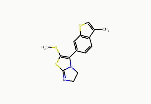 CSC1=C(c2ccc3c(C)csc3c2)N2CCN=C2S1